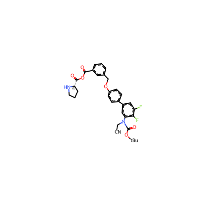 CC(C)(C)OC(=O)N(CC#N)c1cc(-c2ccc(OCc3cccc(C(=O)OC(=O)[C@@H]4CCCN4)c3)cc2)cc(F)c1F